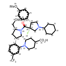 COC[C@@H]1C[C@@H](c2ccc(C(F)(F)F)cc2N2CCC(C(=O)O)CC2)CN1C(=O)[C@]1(F)CN(C2CCCCC2)C[C@H]1c1ccc(OC)cc1